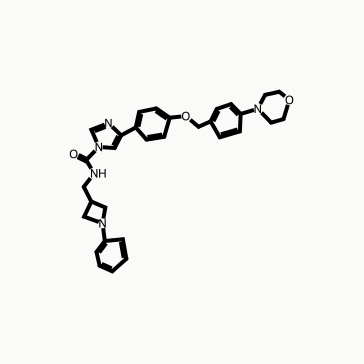 O=C(NCC1CN(c2ccccc2)C1)n1cnc(-c2ccc(OCc3ccc(N4CCOCC4)cc3)cc2)c1